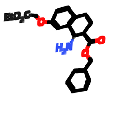 CCOC(=O)COc1ccc2c(c1)[C@@H](N)C(C(=O)OCc1ccccc1)CC2